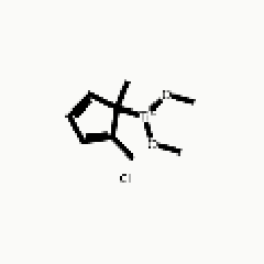 C[O][Ti+]([O]C)[C]1(C)C=CC=C1C.[Cl-]